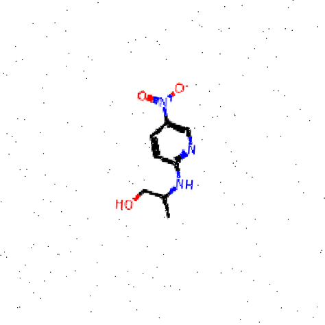 CC(CO)Nc1ccc([N+](=O)[O-])cn1